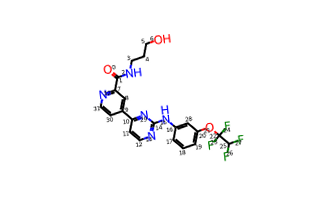 O=C(NCCCO)c1cc(-c2ccnc(Nc3cccc(OC(F)(F)C(F)F)c3)n2)ccn1